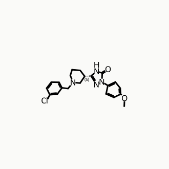 COc1ccc(-n2nc([C@H]3CCCN(Cc4cccc(Cl)c4)C3)[nH]c2=O)cc1